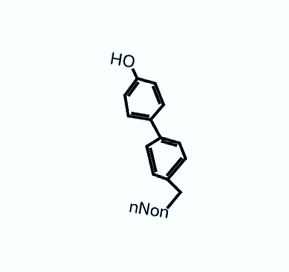 CCCCCCCCCCc1ccc(-c2ccc(O)cc2)cc1